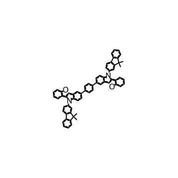 CC1(C)c2ccccc2-c2ccc(-n3c4ccc(-c5ccc(-c6ccc7c(c6)c6oc8ccccc8c6n7-c6ccc7c(c6)C(C)(C)c6ccccc6-7)cc5)cc4c4oc5ccccc5c43)cc21